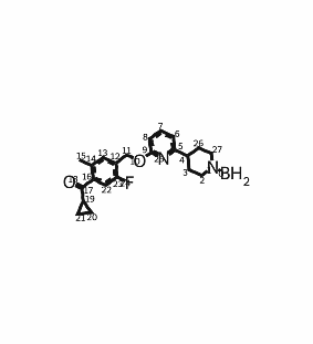 BN1CCC(c2cccc(OCc3cc(C)c(C(=O)C4CC4)cc3F)n2)CC1